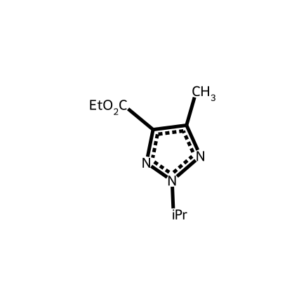 CCOC(=O)c1nn(C(C)C)nc1C